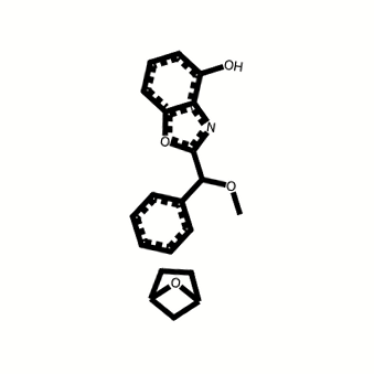 C1CC2CC1O2.COC(c1ccccc1)c1nc2c(O)cccc2o1